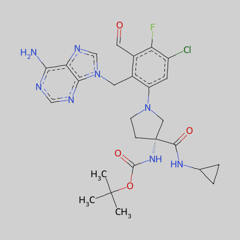 CC(C)(C)OC(=O)N[C@]1(C(=O)NC2CC2)CCN(c2cc(Cl)c(F)c(C=O)c2Cn2cnc3c(N)ncnc32)C1